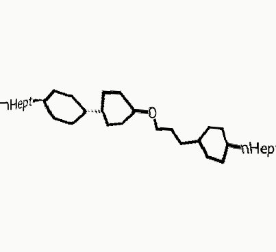 CCCCCCCC1CCC(CCCOC2CCC([C@H]3CC[C@H](CCCCCCC)CC3)CC2)CC1